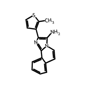 Cc1sccc1-c1nc2c3ccccc3ccn2c1N